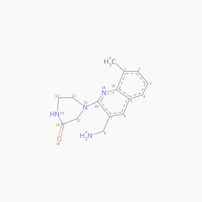 Cc1cccc2cc(CN)c(N3CCNC(=O)C3)nc12